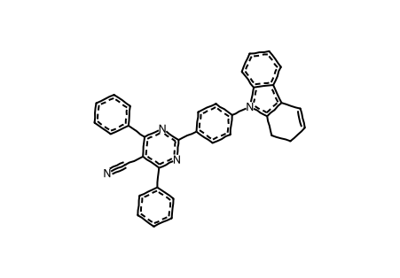 N#Cc1c(-c2ccccc2)nc(-c2ccc(-n3c4c(c5ccccc53)C=CCC4)cc2)nc1-c1ccccc1